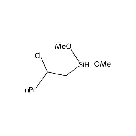 CCCC(Cl)C[SiH](OC)OC